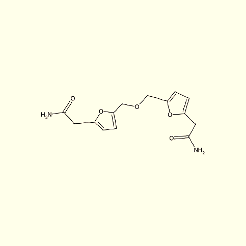 NC(=O)Cc1ccc(COCc2ccc(CC(N)=O)o2)o1